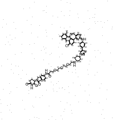 O=C1CCC(N2Cc3cc(NC(=O)CCOCCOCCOCCN[C@H]4CC[C@@H](n5cc(-c6ccc(Nc7ncc8c(n7)-c7ccc(Cl)cc7C(c7c(F)cccc7F)=NC8)cc6)nn5)CC4)ccc3C2=O)C(=O)N1